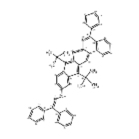 CC(C)(C)c1c2ccc(NN=C(c3ccccc3)c3ccccc3)cc2c(C(C)(C)C)c2ccc(N=C(c3ccccc3)c3ccccc3)cc12